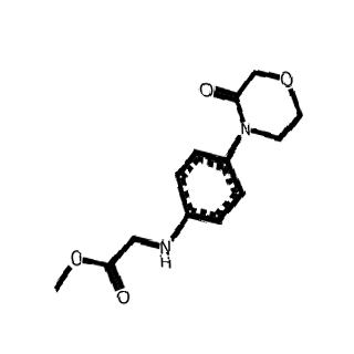 COC(=O)CNc1ccc(N2CCOCC2=O)cc1